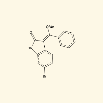 CO/C(=C1\C(=O)Nc2cc(Br)ccc21)c1ccccc1